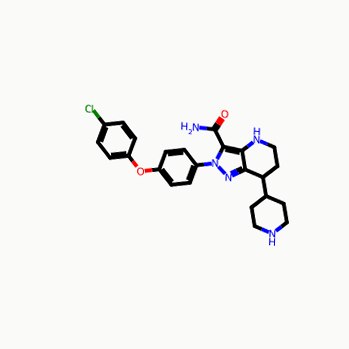 NC(=O)c1c2c(nn1-c1ccc(Oc3ccc(Cl)cc3)cc1)C(C1CCNCC1)CCN2